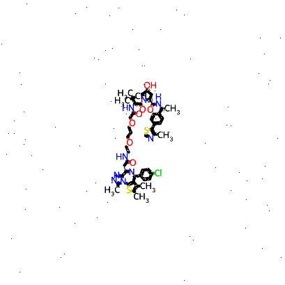 Cc1ncsc1-c1ccc([C@H](C)NC(=O)[C@@H]2C[C@H](O)CN2C(=O)[C@@H](NC(=O)COCCCOCCNC(=O)C[C@@H]2N=C(c3ccc(Cl)cc3)c3c(sc(C)c3C)-n3c(C)nnc32)C(C)(C)C)cc1